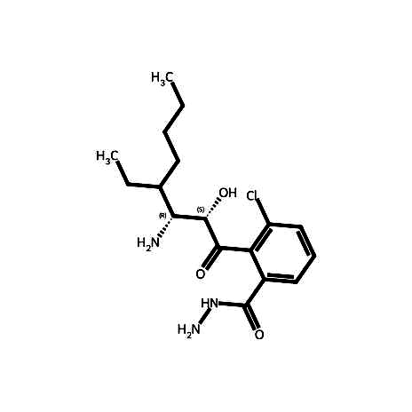 CCCCC(CC)[C@@H](N)[C@H](O)C(=O)c1c(Cl)cccc1C(=O)NN